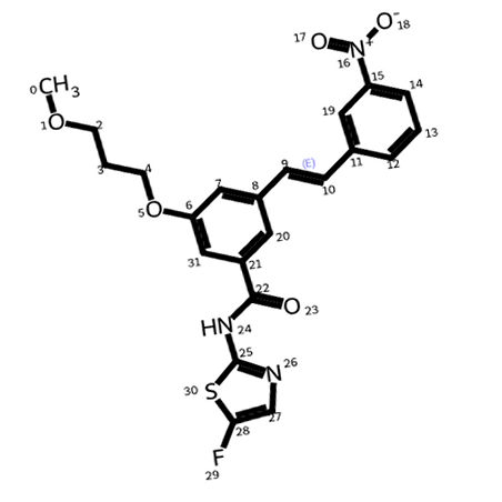 COCCCOc1cc(/C=C/c2cccc([N+](=O)[O-])c2)cc(C(=O)Nc2ncc(F)s2)c1